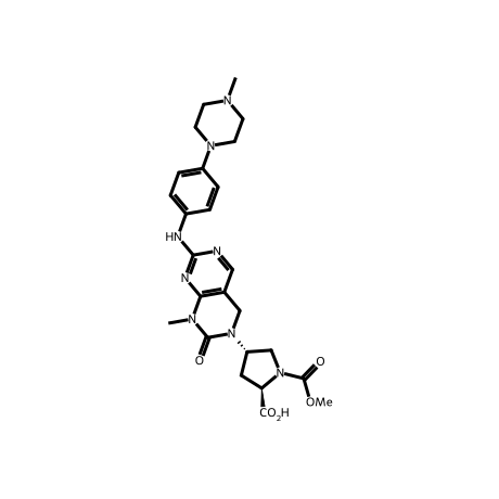 COC(=O)N1C[C@@H](N2Cc3cnc(Nc4ccc(N5CCN(C)CC5)cc4)nc3N(C)C2=O)C[C@@H]1C(=O)O